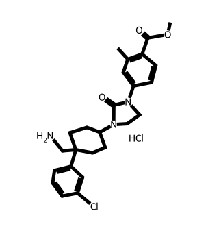 COC(=O)c1ccc(N2CCN(C3CCC(CN)(c4cccc(Cl)c4)CC3)C2=O)cc1C.Cl